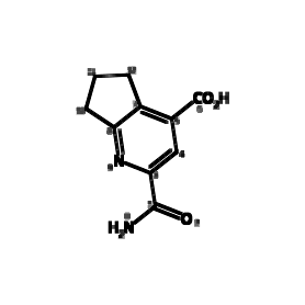 NC(=O)c1cc(C(=O)O)c2c(n1)CCC2